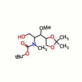 COC(C1COC(C)(C)O1)C(CO)N(C)C(=O)OC(C)(C)C